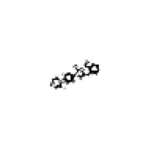 NCc1ccccc1C[C@H]1CN(c2ccc(N3CCOCC3=O)cc2)C(=O)O1